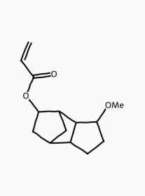 C=CC(=O)OC1CC2CC1C1C(OC)CCC21